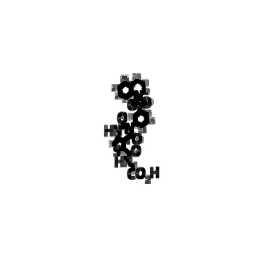 O=C(O)CNC(=O)c1scc2[nH]c(=O)n(-c3cccc(S(=O)(=O)N4CCCc5ccccc54)c3)c(=O)c12